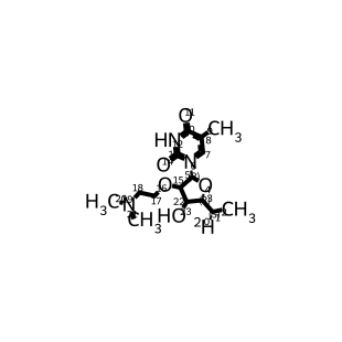 [2H][C@@H](C)[C@H]1O[C@@H](n2cc(C)c(=O)[nH]c2=O)C(OCCN(C)C)C1O